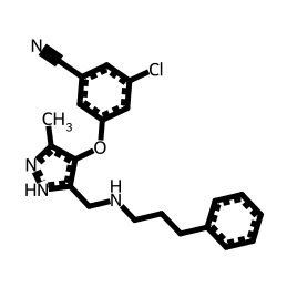 Cc1n[nH]c(CNCCCc2ccccc2)c1Oc1cc(Cl)cc(C#N)c1